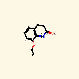 CCOc1cccc2c1NC(=O)CC2